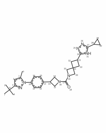 Cc1cc(C(C)(C)C)nn1-c1ccc(C2CN(C(=O)N3CC4(CC(c5nnc(C6CC6)[nH]5)C4)C3)C2)cc1